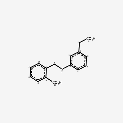 O=C(O)Cc1cccc(SCc2ccccc2C(=O)O)c1